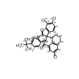 CC(C)(C)c1ccc(CC(C(N)=O)(c2ccc(Cl)c(Cl)c2)N2CCCc3cc(Cl)cc(C(=O)O)c32)cc1